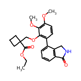 CCOC(=O)C1(COc2c(-c3cccc4c3CNC4=O)ccc(OC)c2OC)CCC1